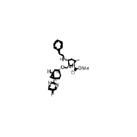 COC(=O)N1[C@H](C)C[C@H](NCCc2ccccc2)[C@@H]1CO[C@@H]1CC[C@]2(c3ncc(F)cn3)C[C@@H]2C1